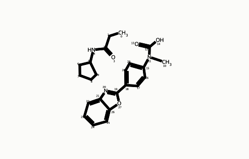 CCC(=O)NC1CCCC1.CN(C(=O)O)c1ccc(-c2nc3ccccc3o2)cc1